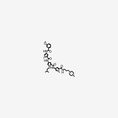 COc1cccc(C(=O)Nc2cc(C(=O)Nc3cc(C(=O)Nc4cc(C(=O)NCCCN5CCN(C)CC5)n(C)c4)n(CCC(C)C)c3)n(C)c2)c1